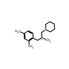 Cc1ccc(C[C@H](C)CN2CCCCC2)c(C)c1